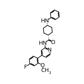 COc1cc(F)ccc1-c1ccnc(NC(=O)[C@H]2CC[C@@H](Nc3ccccc3)CC2)c1